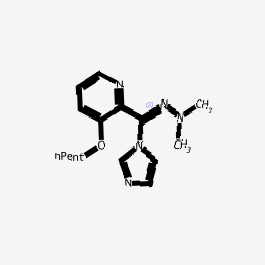 CCCCCOc1cccnc1/C(=N/N(C)C)n1ccnc1